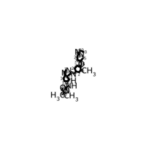 Cc1cc(Nc2ncnc3ccc(NC4=NC(C)(C)CO4)cc23)ccc1Oc1ccc2nccn2c1